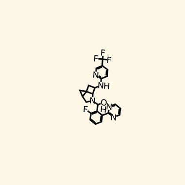 OC(c1c(F)cccc1-c1ncccn1)N1CC2CC23CC(Nc2ccc(C(F)(F)F)cn2)C13